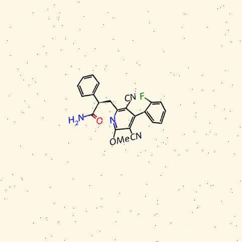 COc1nc(C[C@@H](C(N)=O)c2ccccc2)c(C#N)c(-c2ccccc2F)c1C#N